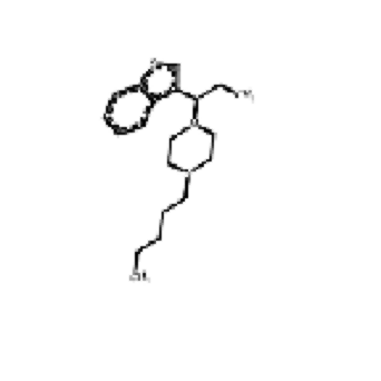 CCCCCN1CCN(C(CC)c2csc3ccccc23)CC1